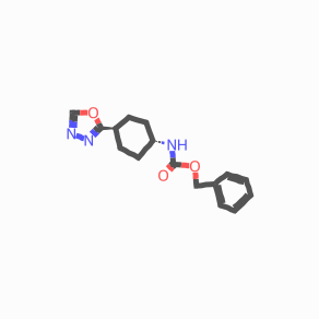 O=C(N[C@H]1CC[C@H](c2nnco2)CC1)OCc1ccccc1